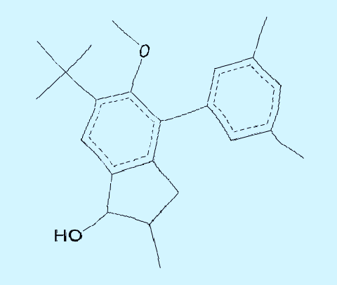 COc1c(C(C)(C)C)cc2c(c1-c1cc(C)cc(C)c1)CC(C)C2O